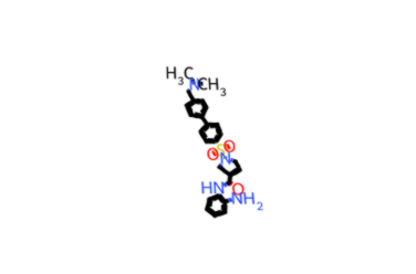 CN(C)Cc1ccc(-c2ccc(S(=O)(=O)N3CC=C(C(=O)Nc4ccccc4N)C3)cc2)cc1